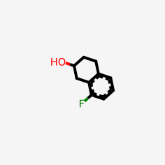 OC1CCc2cccc(F)c2C1